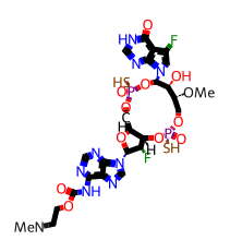 CNCCOC(=O)Nc1ncnc2c1ncn2[C@@H]1O[C@@H]2CO[P@@](=O)(S)O[C@@H](n3cc(F)c4c(=O)[nH]cnc43)[C@H](O)[C@H](OC)CO[P@@](=O)(S)O[C@H]2[C@H]1F